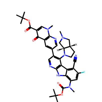 CN1C[C@@H]2CCN(c3c(-c4cnc5c(c4)c(=O)c(C(=O)OC(C)(C)C)cn5C)cnc4[nH]c5c(N(C)C(=O)OC(C)(C)C)cc(F)c(C#N)c5c34)[C@@H]2C1